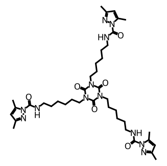 Cc1cc(C)n(C(=O)NCCCCCCn2c(=O)n(CCCCCCNC(=O)n3nc(C)cc3C)c(=O)n(CCCCCCNC(=O)n3nc(C)cc3C)c2=O)n1